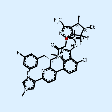 CC[C@@H]1[C@H](C)c2c(C(F)(F)F)nn(CC(=O)N[C@@H](Cc3cc(F)cc(F)c3)c3nc(-c4cn(C)cn4)ccc3-c3ccc(Cl)c4c(NS(C)(=O)=O)nn(C)c34)c2C1(F)F